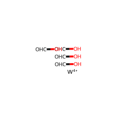 O=[C-]O.O=[C-]O.O=[C-]O.O=[C-]O.[W+4]